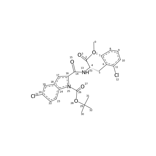 COC(=O)[C@H](Cc1ccccc1Cl)NC(=O)c1cc2cc(Cl)ccc2n1C(=O)OC(C)(C)C